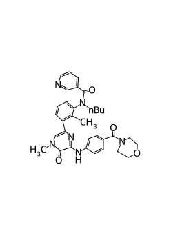 CCCCN(C(=O)c1cccnc1)c1cccc(-c2cn(C)c(=O)c(Nc3ccc(C(=O)N4CCOCC4)cc3)n2)c1C